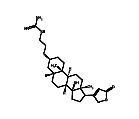 C[C@]12CC[C@H](SCCNC(=N)N)C[C@H]1CC[C@@H]1[C@@H]2CC[C@]2(C)[C@@H](C3=CC(=O)OC3)CC[C@]12O